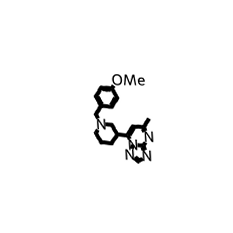 COc1ccc(CN2CCCC(c3cc(C)nc4ncnn34)C2)cc1